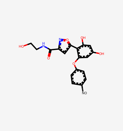 O=Nc1ccc(Oc2cc(O)cc(O)c2-c2cc(C(=O)NCCO)no2)cc1